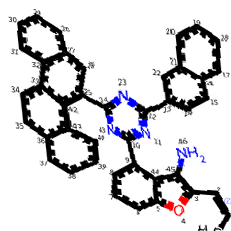 C/C=C\c1oc2cccc(-c3nc(-c4ccc5ccccc5c4)nc(-c4cc5ccccc5c5ccc6ccccc6c45)n3)c2c1N